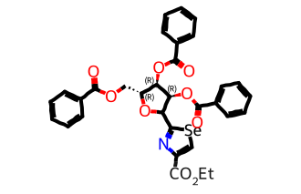 CCOC(=O)c1c[se]c(C2O[C@H](COC(=O)c3ccccc3)[C@@H](OC(=O)c3ccccc3)[C@H]2OC(=O)c2ccccc2)n1